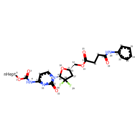 CCCCCCCOC(=O)Nc1ccn([C@@H]2O[C@H](COC(=O)CCC(=O)Nc3ccccc3)CC2(F)F)c(=O)n1